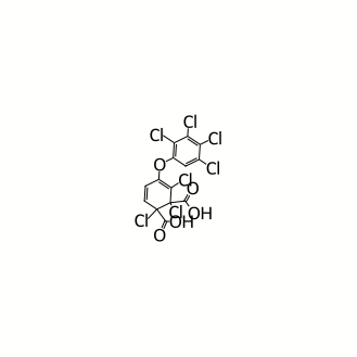 O=C(O)C1(Cl)C=CC(Oc2cc(Cl)c(Cl)c(Cl)c2Cl)=C(Cl)C1(Cl)C(=O)O